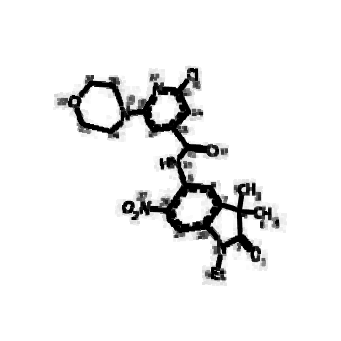 CCN1C(=O)C(C)(C)c2cc(NC(=O)c3cc(Cl)nc(N4CCOCC4)c3)c([N+](=O)[O-])cc21